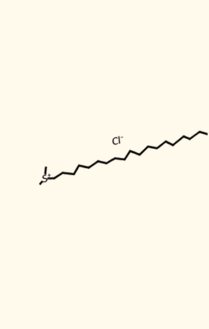 CCCCCCCCCCCCCCCCCCCC[S+](C)C.[Cl-]